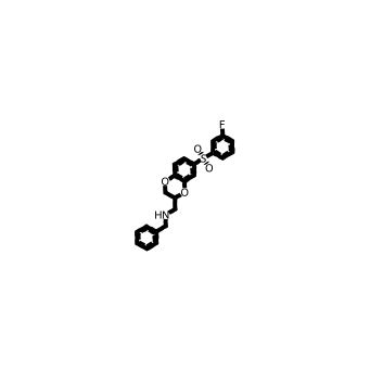 O=S(=O)(c1cccc(F)c1)c1ccc2c(c1)OC(CNCc1ccccc1)CO2